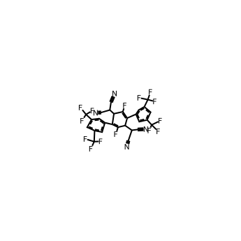 N#CC(C#N)C1C(F)=C(c2cc(C(F)(F)F)cc(C(F)(F)F)c2)C(C(C#N)C#N)C(F)=C1c1cc(C(F)(F)F)cc(C(F)(F)F)c1